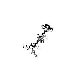 CC(C)(C)CCCCNC(=O)NCCCCN1C(=O)C=CC1=O